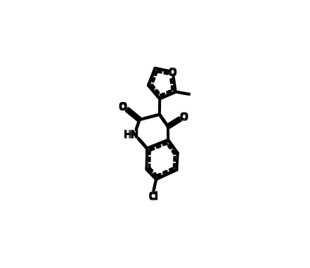 Cc1occc1C1C(=O)Nc2cc(Cl)ccc2C1=O